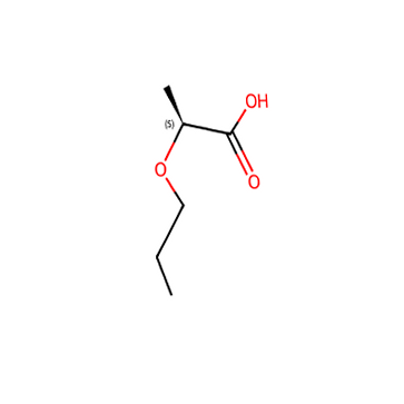 CCCO[C@@H](C)C(=O)O